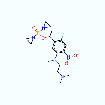 CC(OP(=O)(N1CC1)N1CC1)c1cc(N(C)CCN(C)C)c([N+](=O)[O-])cc1F